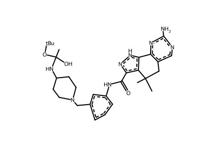 CC(C)(C)OC(C)(O)NC1CCN(Cc2cccc(NC(=O)c3n[nH]c4c3C(C)(C)Cc3cnc(N)nc3-4)c2)CC1